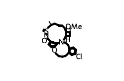 C#S1=N\C(=O)c2ccc3c(c2)N(CCc2ccc(Cl)cc2CCCCO3)C[C@@H]2CC[C@H]2[C@@H](OC)/C=C/C[C@H](C)C/1